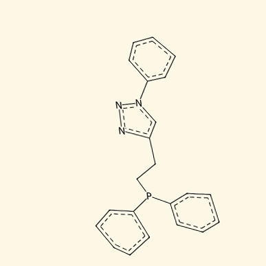 c1ccc(-n2cc(CCP(c3ccccc3)c3ccccc3)nn2)cc1